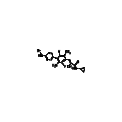 C/C(=C\c1c(C)c(F)c(-c2ccc(NC(C)C)nc2)c(C)c1F)C(=O)NC1CC1